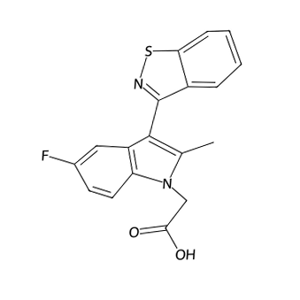 Cc1c(-c2nsc3ccccc23)c2cc(F)ccc2n1CC(=O)O